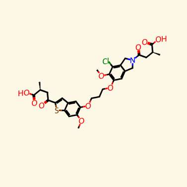 COc1cc2sc(C(=O)C[C@H](C)C(=O)O)cc2cc1OCCCOc1cc2c(c(Cl)c1OC)CN(C(=O)C[C@H](C)C(=O)O)C2